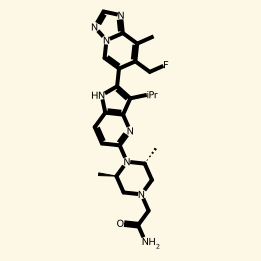 Cc1c(CF)c(-c2[nH]c3ccc(N4[C@H](C)CN(CC(N)=O)C[C@H]4C)nc3c2C(C)C)cn2ncnc12